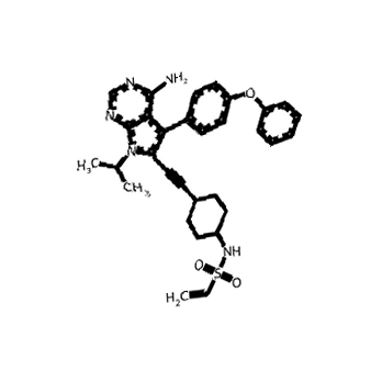 C=CS(=O)(=O)NC1CCC(C#Cc2c(-c3ccc(Oc4ccccc4)cc3)c3c(N)ncnc3n2C(C)C)CC1